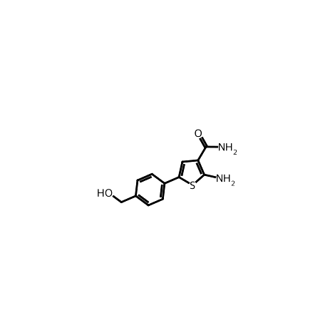 NC(=O)c1cc(-c2ccc(CO)cc2)sc1N